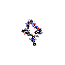 COc1cc2c(cc1OCCCOc1cc3c(cc1OC)C(=O)N1CC4(CC4)C[C@H]1C(O)N3C(=O)OCc1ccc(NC(=O)[C@H](C)NC(=O)[C@@H](NC(=O)CNC(=O)CNC(=O)CCC(=O)N3Cc4ccccc4-c4nnn(C(C)C)c4-c4ccccc43)C(C)C)cc1)NC[C@@H]1CC(c3ccccc3)=CN1C2=O